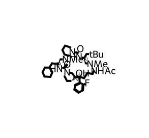 CNC[C@H](CC(C)(C)C)NC(=O)N1CCCCC1.CNC[C@H](CC1CCCCC1)NC(=O)N1CCC[C@@H]([C@@](O)(CCCNC(C)=O)c2ccccc2F)C1